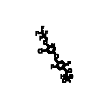 CS(=O)(=O)NC(=O)c1cc(F)c(COc2cnc(OCC(F)(F)C(F)F)c(Cl)c2)cc1F